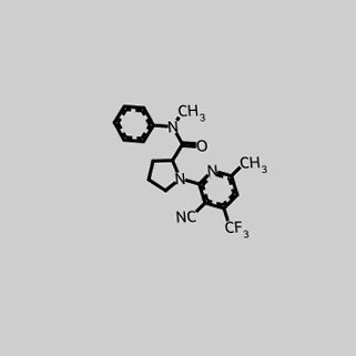 Cc1cc(C(F)(F)F)c(C#N)c(N2CCCC2C(=O)N(C)c2ccccc2)n1